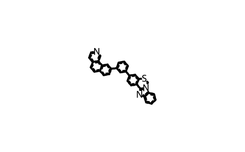 c1cc(-c2ccc3c(c2)SCn2c-3nc3ccccc32)cc(-c2ccc3ccc4ccncc4c3c2)c1